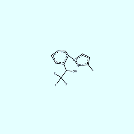 Cc1ccn(-c2ccccc2C(O)C(F)(F)F)n1